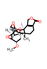 CO[C@H]1C[C@@]2([C@@]3(C)CCC4=C(COC4=O)[C@]3(I)C[C@H]3CO3)O[C@H]2[C@@H]2O[C@]12C(C)C